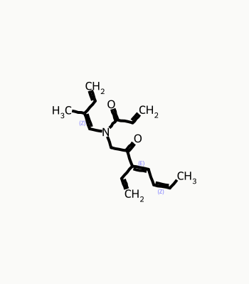 C=CC(=O)N(/C=C(/C)C=C)CC(=O)/C(C=C)=C/C=C\C